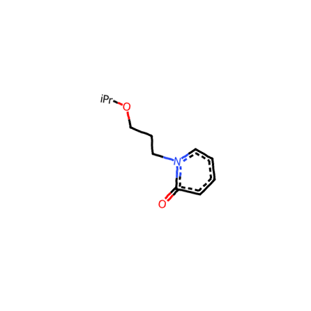 CC(C)OCCCn1ccccc1=O